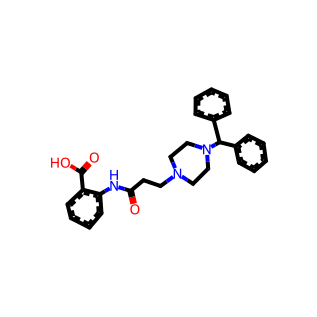 O=C(CCN1CCN(C(c2ccccc2)c2ccccc2)CC1)Nc1ccccc1C(=O)O